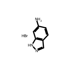 Br.Nc1ccc2cn[nH]c2c1